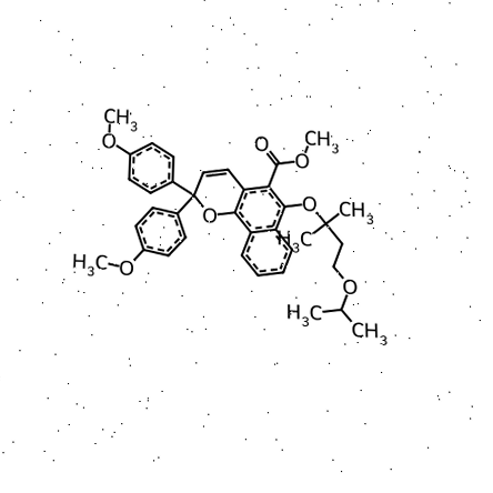 COC(=O)c1c2c(c3ccccc3c1OC(C)(C)CCOC(C)C)OC(c1ccc(OC)cc1)(c1ccc(OC)cc1)C=C2